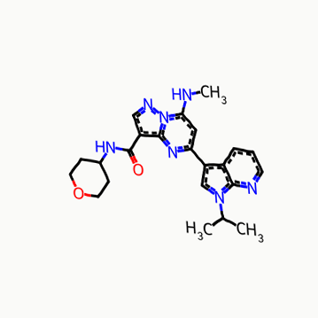 CNc1cc(-c2cn(C(C)C)c3ncccc23)nc2c(C(=O)NC3CCOCC3)cnn12